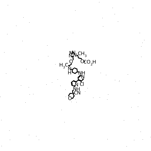 CC(COCc1nnnn1[C@H](C)CCOC(=O)O)NC1CCC(Nc2cc(-c3cccc(NCC4(C#N)CCOCC4)n3)c(Cl)cn2)CC1